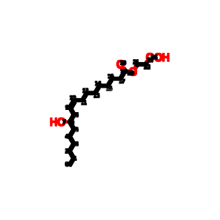 CCCCCC[C@@H](O)C/C=C\CCCCCCCC(=O)OCCOO